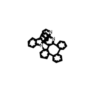 c1ccc2c(c1)-c1ccccc1-c1nc3ncccc3cc1-c1c-2cccc1-n1c2ccccc2c2ccccc21